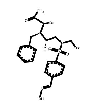 CCC(C)C(C(N)=O)[C@H](Cc1ccccc1)[C@@H](O)CN(CC(C)C)S(=O)(=O)c1ccc(C=NO)cc1